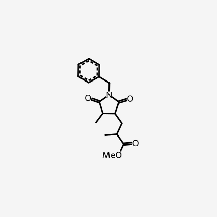 COC(=O)C(C)CC1C(=O)N(Cc2ccccc2)C(=O)C1C